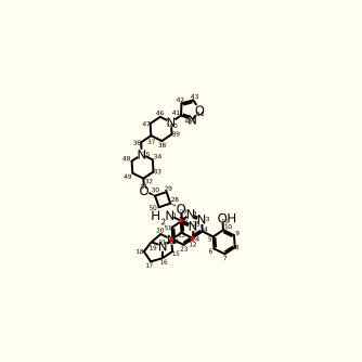 Nc1nnc(-c2ccccc2O)cc1N1CC2CCC(C1)N2c1ccnc(O[C@H]2C[C@H](OC3CCN(CC4CCN(c5ccon5)CC4)CC3)C2)c1